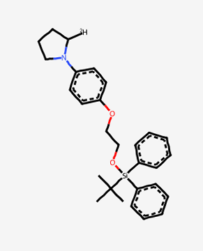 [2H]C1CCCN1c1ccc(OCCO[Si](c2ccccc2)(c2ccccc2)C(C)(C)C)cc1